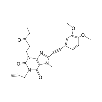 C#CCn1c(=O)c2c(nc(C#Cc3ccc(OC)c(OC)c3)n2C)n(CCC(=O)CC)c1=O